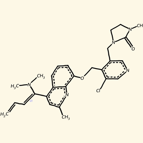 C=C/C=C(/c1cc(C)nc2c(OCc3c(Cl)cncc3CN3CCN(C)C3=O)cccc12)N(C)C